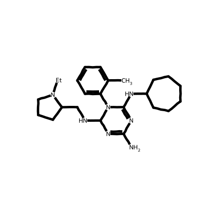 CCN1CCCC1CNC1N=C(N)N=C(NC2CCCCCC2)N1c1ccccc1C